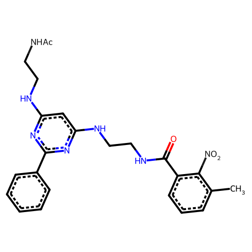 CC(=O)NCCNc1cc(NCCNC(=O)c2cccc(C)c2[N+](=O)[O-])nc(-c2ccccc2)n1